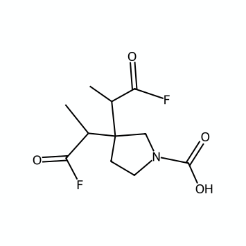 CC(C(=O)F)C1(C(C)C(=O)F)CCN(C(=O)O)C1